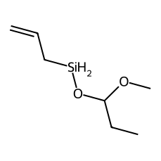 C=CC[SiH2]OC(CC)OC